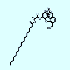 CCCCCCCC/C=C/CCCCCCCC(=O)O[C@@H](C)C(=O)OC1=CC[C@@]2(O)[C@H]3Cc4ccc(CO)c5c4C2(CCN3C)C1O5